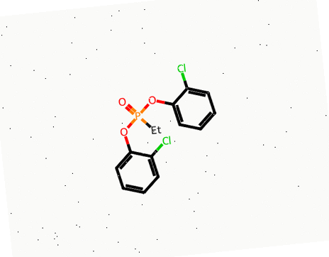 CCP(=O)(Oc1ccccc1Cl)Oc1ccccc1Cl